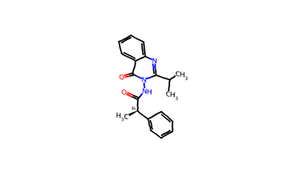 CC(C)c1nc2ccccc2c(=O)n1NC(=O)[C@H](C)c1ccccc1